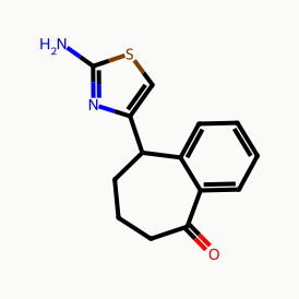 Nc1nc(C2CCCC(=O)c3ccccc32)cs1